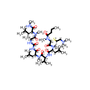 CCCC(=O)N(C)[C@H](SCCN(C)C)C(=O)N(C)[C@@H](CC(C)C)C(=O)N[C@H](C(=O)N(C)[C@@H](CC(C)C)C(=O)NC(=O)N[C@H](C)C(=O)N(C)[C@@H](CC(C)C)C(=O)NC)C(C)C